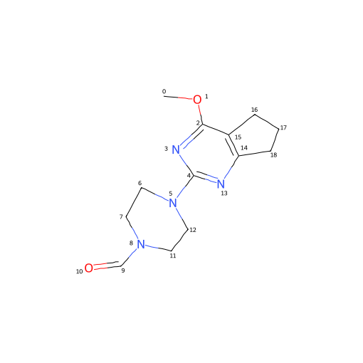 COc1nc(N2CCN(C=O)CC2)nc2c1CCC2